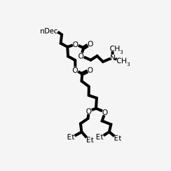 CCCCCCCCCCCCC(CCOC(=O)CCCCC(OCCC(CC)CC)OCCC(CC)CC)OC(=O)OCCCN(C)C